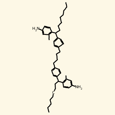 CCCCCCCCC(c1ccc(CCCCc2ccc(C(CCCCCCCC)c3ccc(N)cc3C)cc2)cc1)c1ccc(N)cc1C